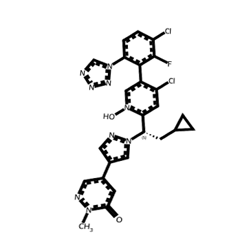 Cn1ncc(-c2cnn([C@@H](CC3CC3)c3cc(Cl)c(-c4c(-n5cnnn5)ccc(Cl)c4F)c[n+]3O)c2)cc1=O